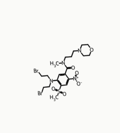 CN(CCCN1CCOCC1)C(=O)c1cc(N(CCBr)CCBr)c(S(C)(=O)=O)cc1[N+](=O)[O-]